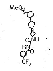 COOSc1cccc(C2CCC(N3CC(NC(=O)CNC(=O)c4cccc(C(F)(F)F)c4)C3)CC2)c1